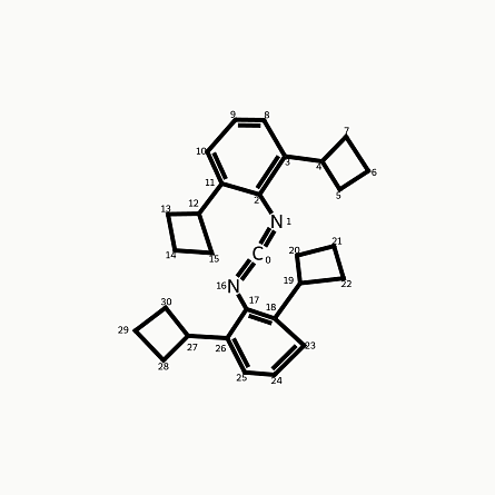 C(=Nc1c(C2CCC2)cccc1C1CCC1)=Nc1c(C2CCC2)cccc1C1CCC1